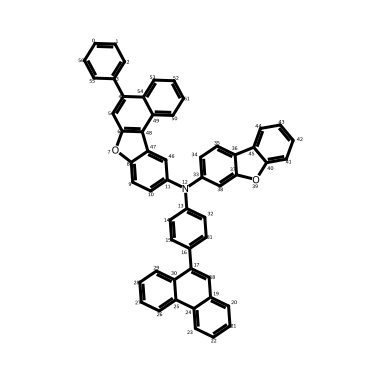 c1ccc(-c2cc3oc4ccc(N(c5ccc(-c6cc7ccccc7c7ccccc67)cc5)c5ccc6c(c5)oc5ccccc56)cc4c3c3ccccc23)cc1